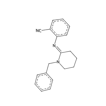 N#Cc1ccccc1/N=C1\CCCCN1Cc1ccccc1